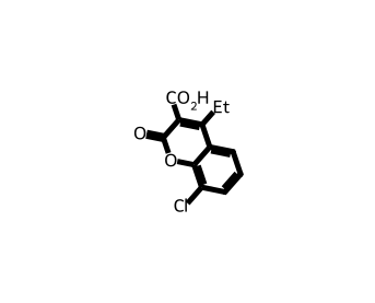 CCc1c(C(=O)O)c(=O)oc2c(Cl)cccc12